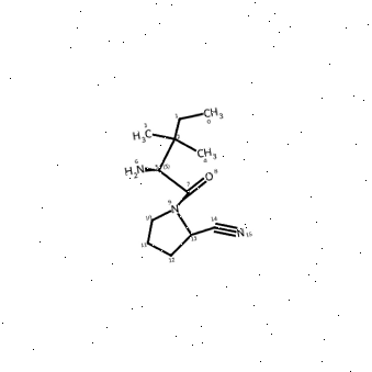 CCC(C)(C)[C@H](N)C(=O)N1CCCC1C#N